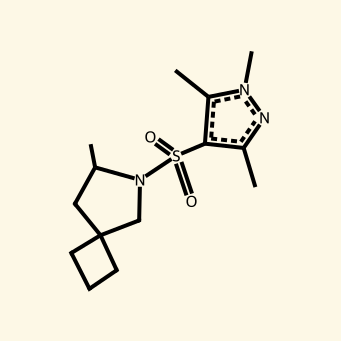 Cc1nn(C)c(C)c1S(=O)(=O)N1CC2(CCC2)CC1C